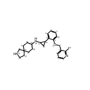 Fc1ncccc1COc1ccccc1C1CC1NC1CCC2(CCNC2)CC1